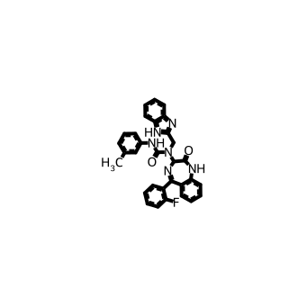 Cc1cccc(NC(=O)N(Cc2nc3ccccc3[nH]2)C2N=C(c3ccccc3F)c3ccccc3NC2=O)c1